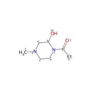 CCC(=O)N1CCN(C)CC1O